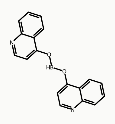 B(Oc1ccnc2ccccc12)Oc1ccnc2ccccc12